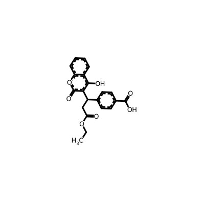 CCOC(=O)CC(c1ccc(C(=O)O)cc1)c1c(O)c2ccccc2oc1=O